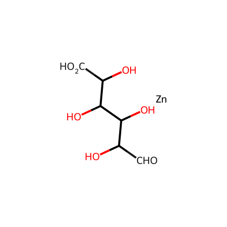 O=CC(O)C(O)C(O)C(O)C(=O)O.[Zn]